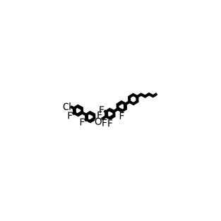 CCCCCC1CCC(c2ccc(-c3cc(F)c(C(F)(F)Oc4ccc(-c5ccc(Cl)c(F)c5)c(F)c4)c(F)c3)c(F)c2)CC1